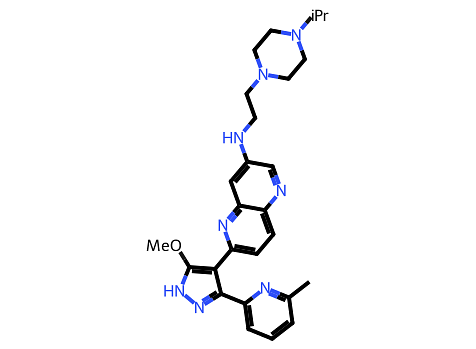 COc1[nH]nc(-c2cccc(C)n2)c1-c1ccc2ncc(NCCN3CCN(C(C)C)CC3)cc2n1